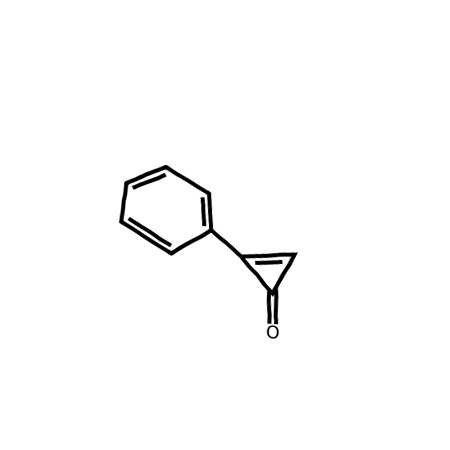 O=c1cc1-c1ccccc1